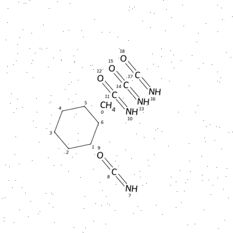 C.C1CCCCC1.N=C=O.N=C=O.N=C=O.N=C=O